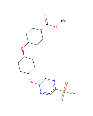 CCS(=O)(=O)c1cnc(O[C@H]2CC[C@H](OC3CCN(C(=O)OC(C)(C)C)CC3)CC2)cn1